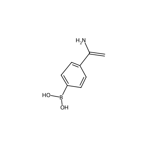 C=C(N)c1ccc(B(O)O)cc1